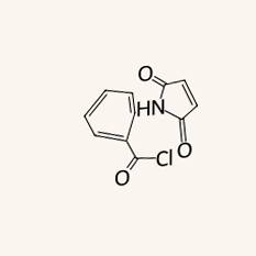 O=C(Cl)c1ccccc1.O=C1C=CC(=O)N1